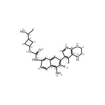 Cc1c(-c2cc3cc(NC(=O)OC4CC(C(C)O)C4)ncc3c(N)c2F)cnc2c1NCCO2